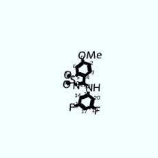 COc1ccc2c(c1)S(=O)(=O)N=C2Nc1cc(F)cc(F)c1